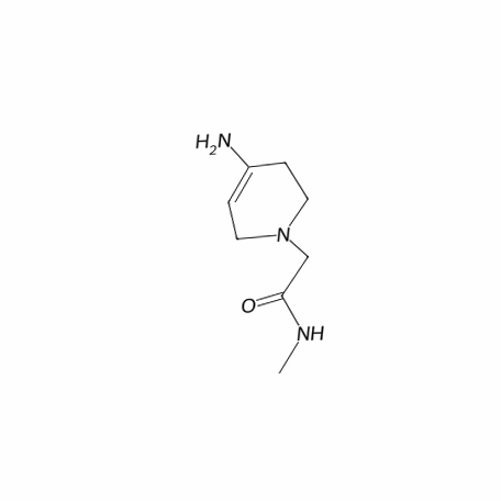 CNC(=O)CN1CC=C(N)CC1